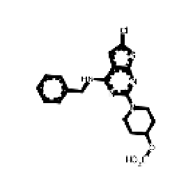 O=C(O)OC1CCN(c2nc(NCc3ccccc3)c3cc(Cl)sc3n2)CC1